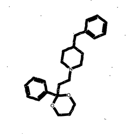 [c]1cccc(C2(CCN3CCC(Cc4ccccc4)CC3)OCCCO2)c1